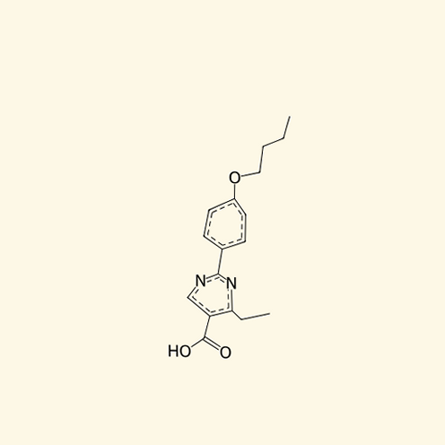 CCCCOc1ccc(-c2ncc(C(=O)O)c(CC)n2)cc1